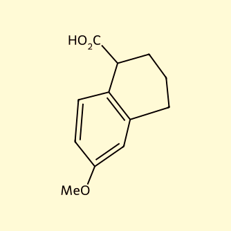 COc1ccc2c(c1)CCCC2C(=O)O